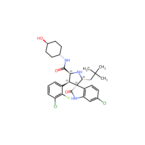 CC(C)(C)C[C@H]1N[C@H](C(=O)N[C@H]2CC[C@H](O)CC2)[C@H](c2cccc(Cl)c2F)[C@@]12C(=O)Nc1cc(Cl)ccc12